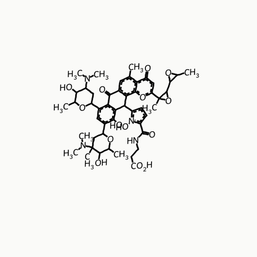 Cc1cc2c(c3oc(C4(C)OC4C4OC4C)cc(=O)c13)C(c1ccc(C(=O)NCCC(=O)O)n1O)c1c(O)c(C3CC(C)(N(C)C)C(O)C(C)O3)cc(C3CC(N(C)C)C(O)C(C)O3)c1C2=O